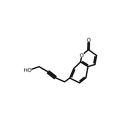 O=c1ccc2ccc(CC#CCO)cc2o1